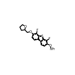 CCCOc1ccc2c(sc3c(F)c(OCC4CCCO4)ccc32)c1F